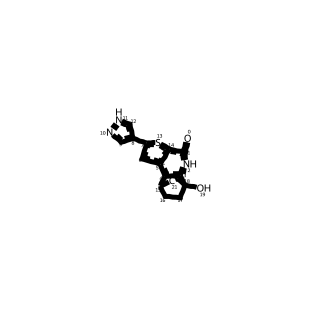 O=c1[nH]c2c(c3cc(-c4cn[nH]c4)sc13)C1CCC2(O)CC1